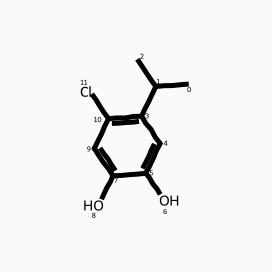 CC(C)c1cc(O)c(O)cc1Cl